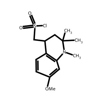 COc1ccc2c(c1)N(C)C(C)(C)CC2CS(=O)(=O)Cl